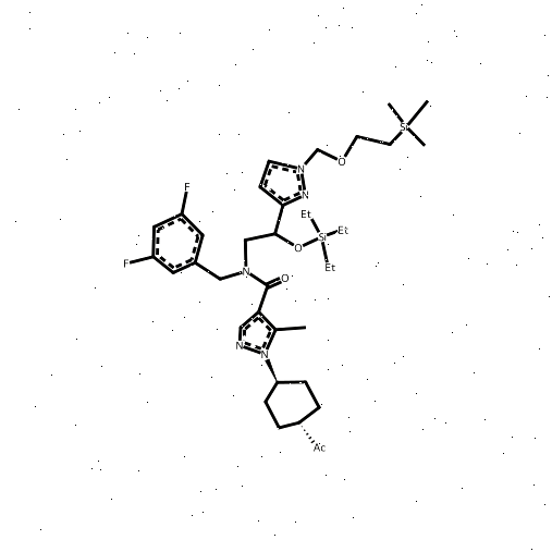 CC[Si](CC)(CC)OC(CN(Cc1cc(F)cc(F)c1)C(=O)c1cnn([C@H]2CC[C@H](C(C)=O)CC2)c1C)c1ccn(COCC[Si](C)(C)C)n1